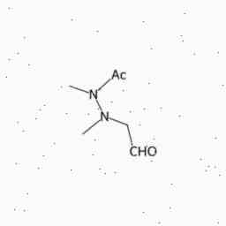 CC(=O)N(C)N(C)CC=O